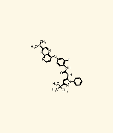 CN(C)c1cnc2c(Oc3ccc(NC(=O)Nc4cc(C(C)(C)C)nn4-c4ccccc4)c(F)c3)ccnc2n1